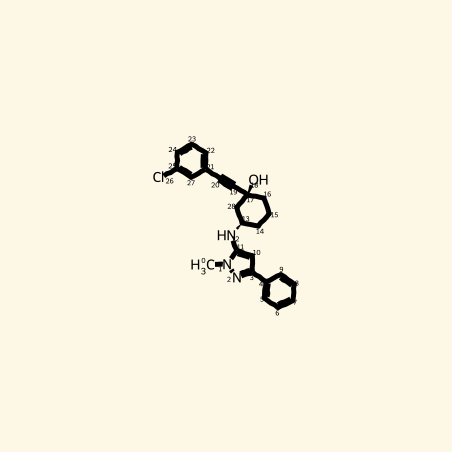 Cn1nc(-c2ccccc2)cc1N[C@H]1CCC[C@@](O)(C#Cc2cccc(Cl)c2)C1